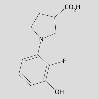 O=C(O)C1CCN(c2cccc(O)c2F)C1